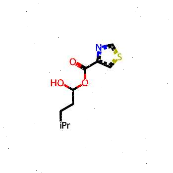 CC(C)CCC(O)OC(=O)c1cscn1